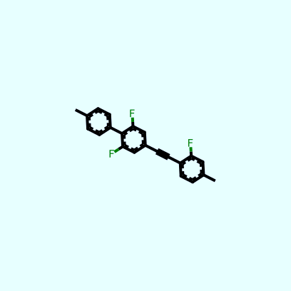 Cc1ccc(-c2c(F)cc(C#Cc3ccc(C)cc3F)cc2F)cc1